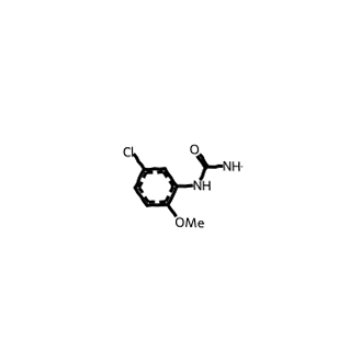 COc1ccc(Cl)cc1NC([NH])=O